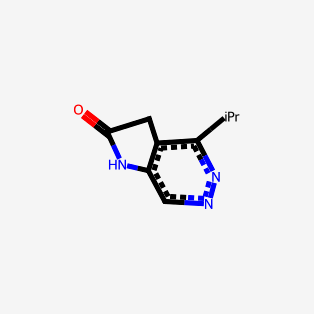 CC(C)c1nncc2c1CC(=O)N2